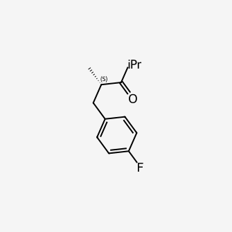 CC(C)C(=O)[C@@H](C)Cc1ccc(F)cc1